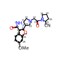 COc1ccc2c(C(N)=O)c(C3CCN(CC(=O)N4CCCC4C#N)C3)oc2c1